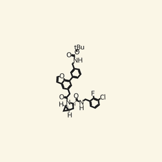 CC(C)(C)OC(=O)NCc1cccc(-c2cc(CC(=O)N3[C@@H]4C[C@@H]4C[C@H]3C(=O)NCc3cccc(Cl)c3F)cc3ccoc23)c1